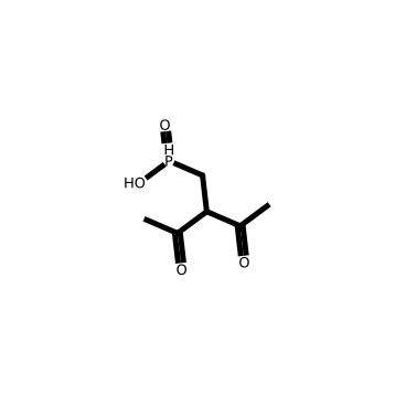 CC(=O)C(C[PH](=O)O)C(C)=O